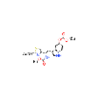 CC(=O)Nc1nc(C(Cc2c[nH]c3ccc(OC(=O)OC(C)(C)C)cc23)NC(=O)OC(C)(C)C)cs1